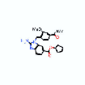 COC(=O)c1ccc(Cn2c(N)nc3ccc(C(=O)OC4CCCC4)cc32)c(OC)c1